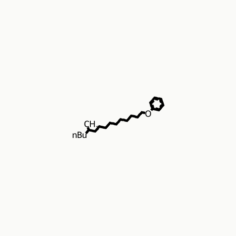 CCCCC(C)CCCCCCCCCCOc1ccccc1